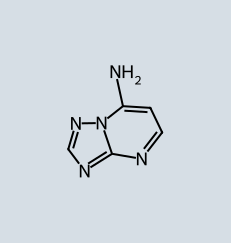 Nc1ccnc2ncnn12